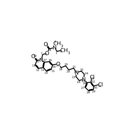 CCN(C)C(=O)OCn1c(=O)ccc2ccc(OCCCCN3CCN(c4cccc(Cl)c4Cl)CC3)cc21